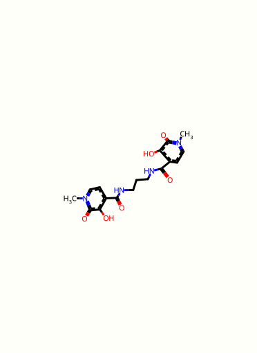 Cn1ccc(C(=O)NCCCNC(=O)c2ccn(C)c(=O)c2O)c(O)c1=O